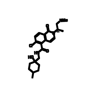 CNC[C@@H](C)n1ccc2c(C(=O)NCC3(O)CCC(C)CC3)c(Cl)ccc2c1=O